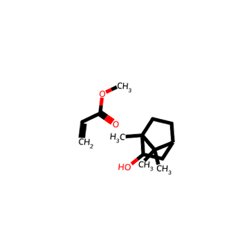 C=CC(=O)OC.CC1(C)C2CCC1(C)C(O)C2